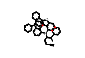 C#C/C=C\C(=C(/C)c1ccccc1)N(c1cccc2ccccc12)c1cccc2oc3c4ccccc4c(-c4ccccc4)cc3c12